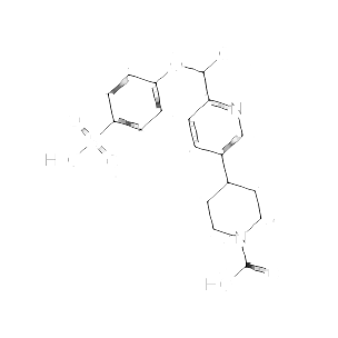 CC(Oc1ccc(S(C)(=O)=O)cc1)c1ccc(C2CCN(C(=O)O)CC2)cn1